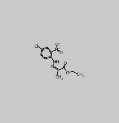 CCOC(=O)C(C)=NNc1ccc(Cl)cc1[N+](=O)[O-]